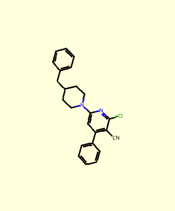 N#Cc1c(-c2ccccc2)cc(N2CCC(Cc3ccccc3)CC2)nc1Cl